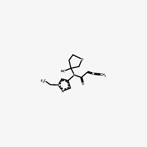 C=C=CC(=O)N(c1cnn(CC(F)(F)F)c1)C1(C#N)CCOC1